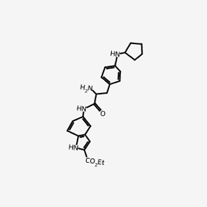 CCOC(=O)c1cc2cc(NC(=O)C(N)Cc3ccc(NC4CCCC4)cc3)ccc2[nH]1